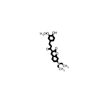 CCN(CC)c1ccc2cc(C(=O)C=Cc3ccc(O)c(OC)c3)c(=O)oc2c1